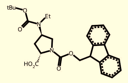 CCN(C(=O)OC(C)(C)C)[C@@H]1C[C@@H](C(=O)O)N(C(=O)OCC2c3ccccc3-c3ccccc32)C1